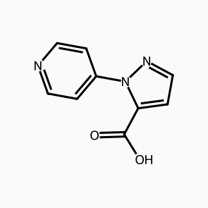 O=C(O)c1ccnn1-c1ccncc1